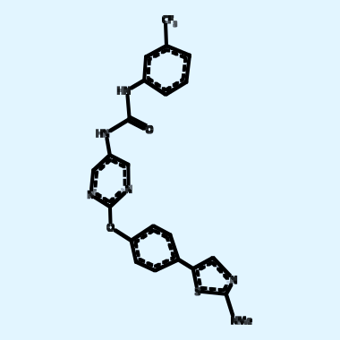 CNc1ncc(-c2ccc(Oc3ncc(NC(=O)Nc4cccc(C(F)(F)F)c4)cn3)cc2)s1